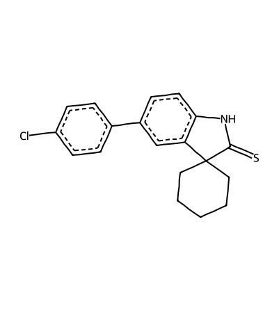 S=C1Nc2ccc(-c3ccc(Cl)cc3)cc2C12CCCCC2